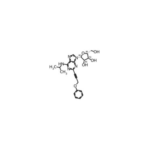 CC(C)Nc1nc(C#CCOc2ccccc2)nc2c1ncn2[C@@H]1O[C@H](CO)[C@@H](O)[C@H]1O